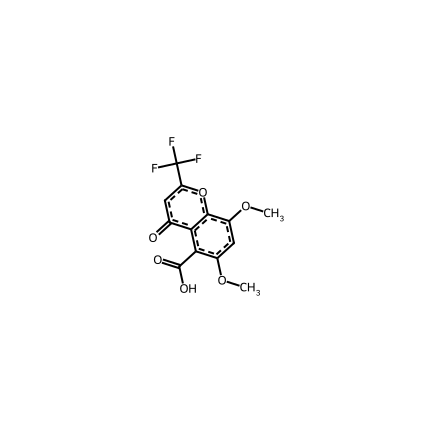 COc1cc(OC)c2oc(C(F)(F)F)cc(=O)c2c1C(=O)O